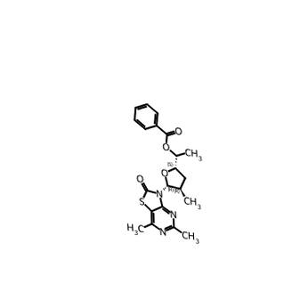 Cc1nc(C)c2sc(=O)n([C@@H]3O[C@H](C(C)OC(=O)c4ccccc4)C[C@H]3C)c2n1